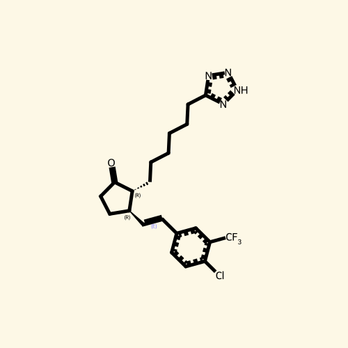 O=C1CC[C@H](/C=C/c2ccc(Cl)c(C(F)(F)F)c2)[C@H]1CCCCCCc1nn[nH]n1